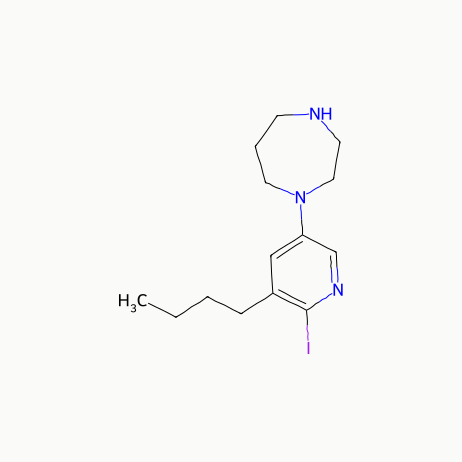 CCCCc1cc(N2CCCNCC2)cnc1I